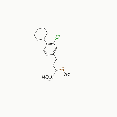 CC(=O)SC(CCc1ccc(C2CCCCC2)c(Cl)c1)C(=O)O